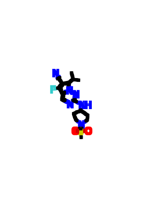 CC(C)c1c(C#N)c(F)c2cnc(NC3CCN(S(C)(=O)=O)CC3)nn12